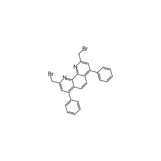 BrCc1cc(-c2ccccc2)c2ccc3c(-c4ccccc4)cc(CBr)nc3c2n1